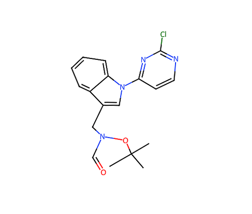 CC(C)(C)ON(C=O)Cc1cn(-c2ccnc(Cl)n2)c2ccccc12